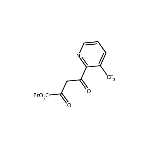 CCOC(=O)C(=O)CC(=O)c1ncccc1C(F)(F)F